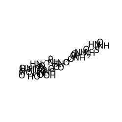 NC(=O)C(CCCCNC(=O)CCCCC1SCC2NC(=O)NC21)NC(=O)COCCOCCNC(=O)COCCOCCNC(=O)C(CO)NC(=O)C(CC(=O)O)NC(=O)C(CCCCNC(=O)CCN1C(=O)C=CC1=O)NC(=O)CCCc1c[nH]c2ccccc12